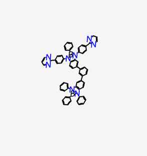 c1ccc(B2N(c3ccccc3)c3ccc(-c4cccc(-c5ccc6c(c5)N(c5ccc(-c7ncccn7)cc5)B(c5ccccc5)N6c5ccc(-c6ncccn6)cc5)c4)cc3N2c2ccccc2)cc1